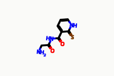 NCC(=O)NC(=O)c1ccc[nH]c1=S